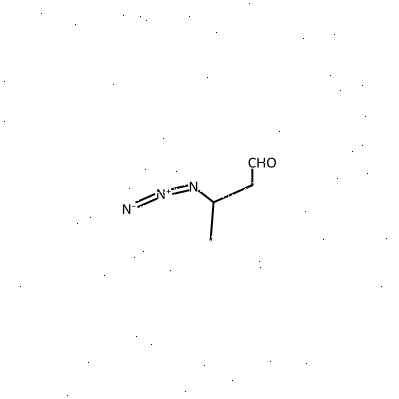 CC(CC=O)N=[N+]=[N-]